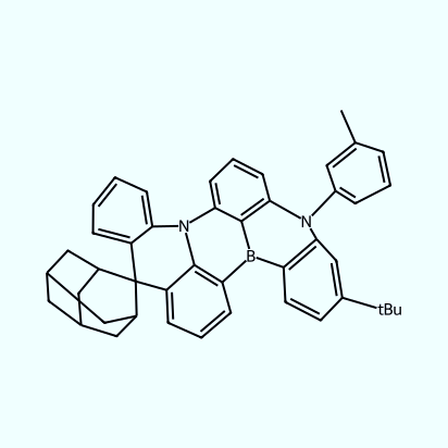 Cc1cccc(N2c3cc(C(C)(C)C)ccc3B3c4cccc5c4N(c4ccccc4C54C5CC6CC(C5)CC4C6)c4cccc2c43)c1